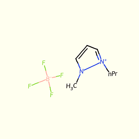 CCC[n+]1cccn1C.F[B-](F)(F)F